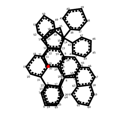 c1ccc(-c2ccccc2-c2c(-c3ccccc3)cccc2-c2ccccc2N(c2ccc3c(c2)C(c2ccccc2)(c2ccccc2)c2ccccc2-3)c2cccc3ccccc23)cc1